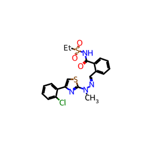 CCS(=O)(=O)NC(=O)c1ccccc1C=NN(C)c1nc(-c2ccccc2Cl)cs1